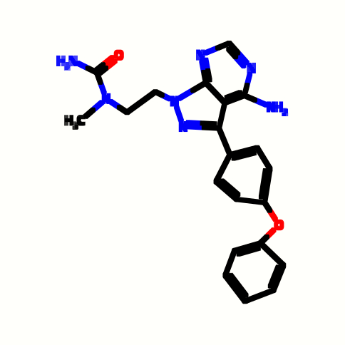 CN(CCn1nc(-c2ccc(Oc3ccccc3)cc2)c2c(N)ncnc21)C(N)=O